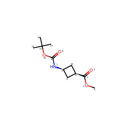 COC(=O)[C@H]1C[C@@H](NC(=O)OC(C)(C)C)C1